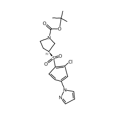 CC(C)(C)OC(=O)N1CC[C@H](S(=O)(=O)c2ccc(-n3cccn3)cc2Cl)C1